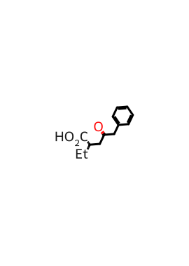 CCC(CC(=O)Cc1ccccc1)C(=O)O